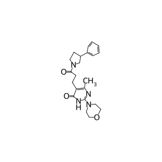 Cc1nc(N2CCOCC2)[nH]c(=O)c1CCC(=O)N1CCC(c2ccccc2)C1